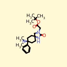 CN(C)C1(c2ccccc2)CCC2(CC1)CN(CC(=O)OC(C)(C)C)C(=O)N2